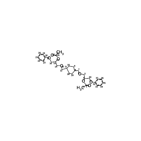 CC(=O)OC(COCC1CCC(COCC(COc2ccccc2)OC(C)=O)CC1)COc1ccccc1